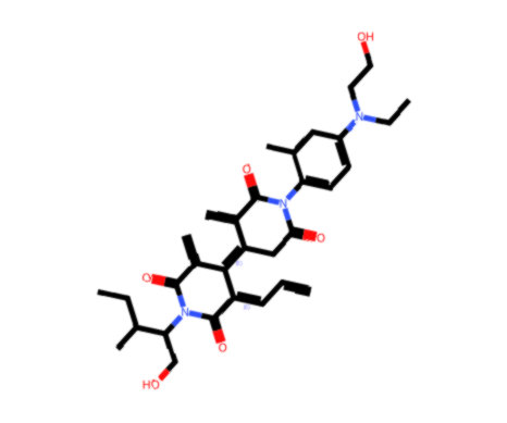 C=C/C=C1/C(=O)N(C(CO)C(C)CC)C(=O)C(=C)/C1=C1/CC(=O)N(C2=CC=C(N(CC)CCO)CC2C)C(=O)C1=C